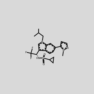 CC(C)Cn1cc([C@H](NS(=O)(=O)C2CC2)C(F)(F)F)c2ccc(-c3ccnn3C)cc21